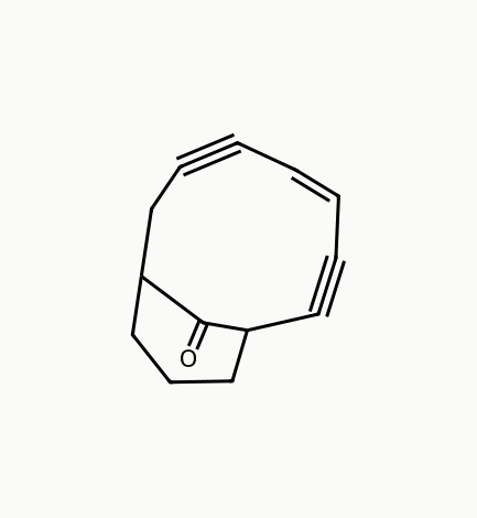 O=C1C2C#CC=CC#CCC1CCC2